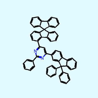 c1ccc(-c2nc(-c3ccc4c(c3)C(c3ccccc3)(c3ccccc3)c3ccccc3-4)cc(-c3cccc4c3-c3ccccc3C43c4ccccc4-c4ccccc43)n2)cc1